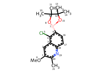 COc1cc2c(Cl)c(B3OC(C)(C)C(C)(C)O3)ccc2nc1C